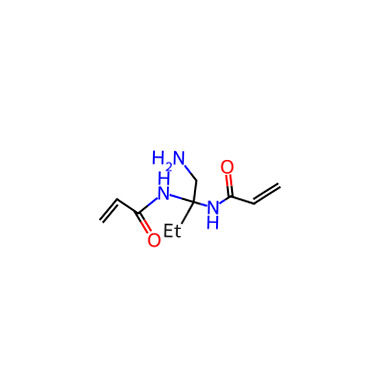 C=CC(=O)NC(CC)(CN)NC(=O)C=C